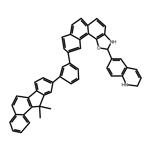 CC1(C)c2cc(-c3cccc(-c4ccc5ccc6ccc7c(c6c5c4)OC(c4ccc5c(c4)C=CCN5)N7)c3)ccc2-c2ccc3ccccc3c21